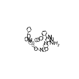 COCOc1ccccc1-c1cc(N2CCC3(CC2)CN(CCOC2CC4(CCN(C(=O)OCc5ccccc5)CC4)C2)CCO3)c(N)nn1